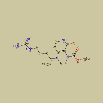 CC(=O)N(c1cc[nH]c(=O)c1N(C)C(=O)OC(C)(C)C)[C@H](C=O)CCCNC(=N)N